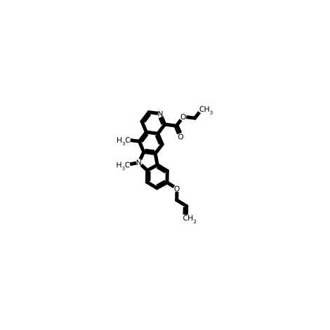 C=CCOc1ccc2c(c1)c1cc3c(C(=O)OCC)nccc3c(C)c1n2C